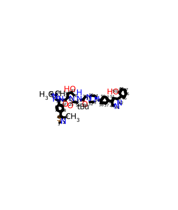 Cc1ncsc1-c1ccc(C(CN(C)C)NC(=O)C2C[C@@H](O)CN2C(=O)[C@@H](NC(=O)CN2CCN(c3ccc(-c4cnnc(-c5ccccc5O)c4)cc3)CC2)C(C)(C)C)cc1